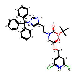 CC(C)(C)OC(=O)N(CCc1cn(C(c2ccccc2)(c2ccccc2)c2ccccc2)cn1)CC(=O)OCc1cc(Cl)nc(Cl)c1